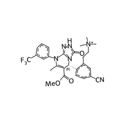 COC(=O)C1=C(C)N(c2cccc(C(F)(F)F)c2)c2n[nH]c(=O)n2[C@@H]1c1ccc(C#N)cc1CC[N+](C)(C)C